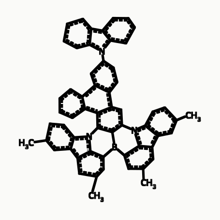 Cc1ccc2c(c1)c1cc(C)cc3c1n2-c1cc2c4ccc(-n5c6ccccc6c6ccccc65)cc4c4ccccc4c2c2c1B3c1cc(C)cc3c4cc(C)ccc4n-2c13